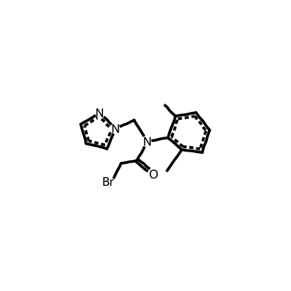 Cc1cccc(C)c1N(Cn1cccn1)C(=O)CBr